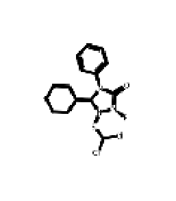 O=C1N(c2ccccc2)C(C2CCCCC2)N(SC(Cl)Cl)N1F